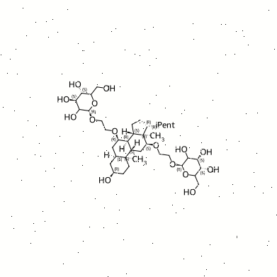 CCC[C@@H](C)[C@H]1CC[C@H]2[C@@H]3[C@H](OCCO[C@@H]4OC(CO)[C@@H](O)[C@H](O)C4O)C[C@@H]4C[C@H](O)CC[C@]4(C)[C@H]3C[C@H](OCCO[C@@H]3OC(CO)[C@@H](O)[C@H](O)C3O)[C@]12C